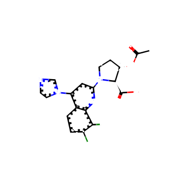 CC(=O)O[C@H]1CCN(c2cc(-n3ccnc3)c3ccc(Cl)c(Cl)c3n2)[C@@H]1C(=O)O